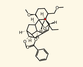 CCN1CC2(COC)CC[C@H](OC)[C@]34[C@@H]5C[C@H]6[C@H](OC(=O)c7ccccc7)[C@@H]5C(=C[C@H](O[C@@H]13)[C@H]24)C[C@@H]6OC